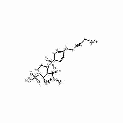 COCC#CCOc1ccc(S(=O)(=O)N2CCN(S(C)(=O)=O)C(C)C2C(=O)NO)cc1